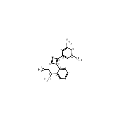 CCC(C)c1ccccc1C1=C(c2cc(C)cc(C)c2)C=C1